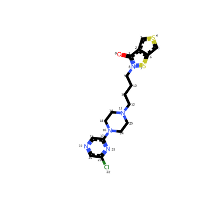 O=c1c2cscc2sn1CCCCN1CCN(c2cncc(Cl)n2)CC1